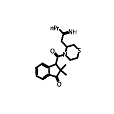 CCCC(=N)CC1CSCCN1C(=O)C1c2ccccc2C(=O)C1(C)C